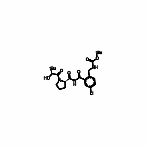 CC(C)(C)OC(=O)NCc1ccc(Cl)cc1C(=O)NC(=O)[C@@H]1CCCN1C(=O)[C@H](O)C(C)(C)C